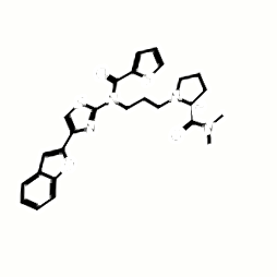 CN(C)C(=O)[C@@H]1CCCN1CCCN(C(=O)c1cccs1)c1nc(-c2cc3ccccc3o2)cs1